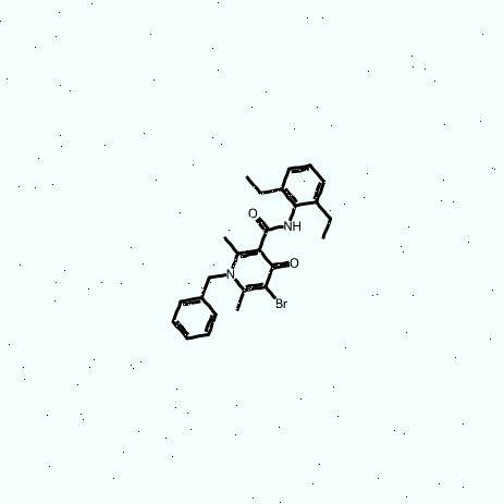 CCc1cccc(CC)c1NC(=O)c1c(C)n(Cc2ccccc2)c(C)c(Br)c1=O